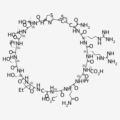 CCC1(C)C[C@]12NC(=O)[C@H](CO)NC(=O)[C@H](CO)NC(=O)[C@H](CC(C)C)NC(=O)[C@H]([C@@H](C)O)NC(=O)[C@H]([C@@H](C)O)NC(=O)[C@@H]1CSC(=N1)c1cc(cs1)C[C@@H](C(N)=O)NC(=O)[C@H](CCCNC(=N)N)NC(=O)[C@H](CCCNC(=N)N)NC(=O)[C@H](CC(=O)O)NC(=O)[C@H](C(C)C)NC(=O)[C@H](CCC(N)=O)NC(=O)[C@H](CC(=O)O)NC(=O)CNC2=O